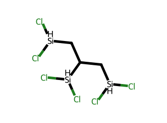 Cl[SiH](Cl)CC(C[SiH](Cl)Cl)[SiH](Cl)Cl